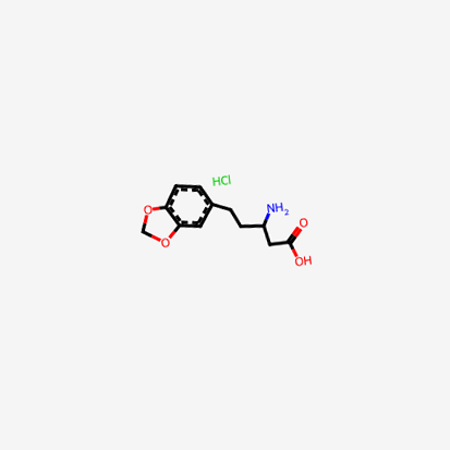 Cl.NC(CCc1ccc2c(c1)OCO2)CC(=O)O